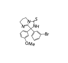 COc1cccc(C2(c3cccc(Br)c3)NC(=S)N3CCCN=C32)c1